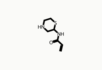 C=CC(=O)NC1CNCCS1